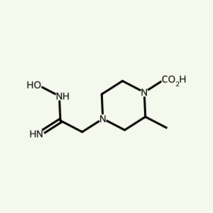 CC1CN(CC(=N)NO)CCN1C(=O)O